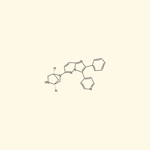 c1ccc(-c2nc3ccc(N4C[C@@H]5C[C@H]4CN5)nn3c2-c2ccncc2)cc1